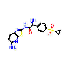 N=C(C(=O)Nc1nc2ccc(N)nc2s1)c1ccc(S(=O)(=O)C2CC2)cc1